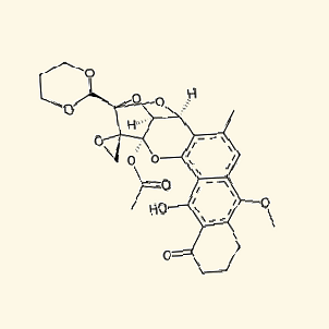 COc1c2c(c(O)c3c4c(c(C)cc13)[C@@H]1O[C@@]3(C5OCCCO5)O[C@@H]1[C@@](OC(C)=O)(O4)[C@@]31CO1)C(=O)CCC2